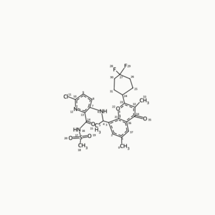 Cc1cc(C(C)Nc2ccc(Cl)nc2C(=O)NS(C)(=O)=O)c2oc(C3CCC(F)(F)CC3)c(C)c(=O)c2c1